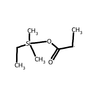 C[CH]C(=O)O[Si](C)(C)CC